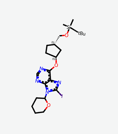 CC(C)(C)[Si](C)(C)OC[C@H]1CC[C@H](Oc2ncnc3c2nc(I)n3C2CCCCO2)C1